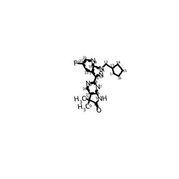 CC1(C)C(=O)Nc2nc(-c3nn(CC4CCCC4)c4ncc(F)cc34)ncc21